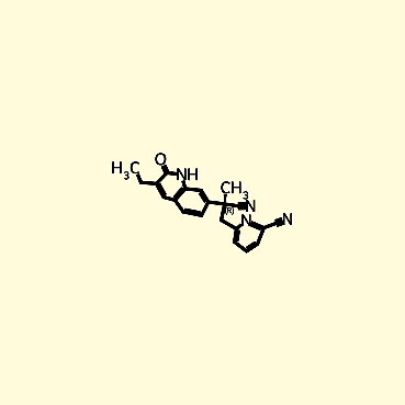 CCc1cc2ccc([C@](C)(C#N)Cc3cccc(C#N)n3)cc2[nH]c1=O